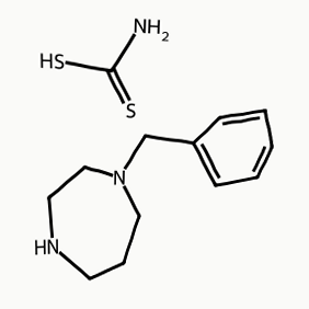 NC(=S)S.c1ccc(CN2CCCNCC2)cc1